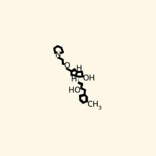 Cc1cccc(C[C@H](O)/C=C/[C@@H]2[C@H]3CC(COCCCN4CCCCC4)=C[C@H]3C[C@H]2O)c1